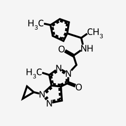 Cc1ccc(C(C)NC(=O)Cn2nc(C)c3c(cnn3C3CC3)c2=O)cc1